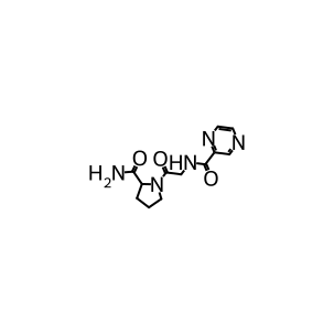 NC(=O)C1CCCN1C(=O)CNC(=O)c1cnccn1